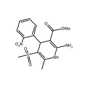 COC(=O)C1=C(N)NC(C)=C(S(C)(=O)=O)C1c1ccccc1[N+](=O)[O-]